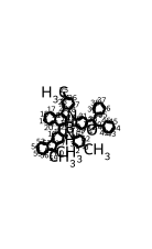 Cc1ccc(Nc2cc3c(cc2-c2c4c5c(c6ccccc26)c2cc(C)ccc2n5-c2cc5c(-c6ccccc6)c(-c6ccccc6)oc5cc2B4)-c2ccccc2C3(C)C)cc1